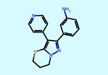 Nc1cccc(-c2nn3c(c2-c2ccncc2)SCCC3)c1